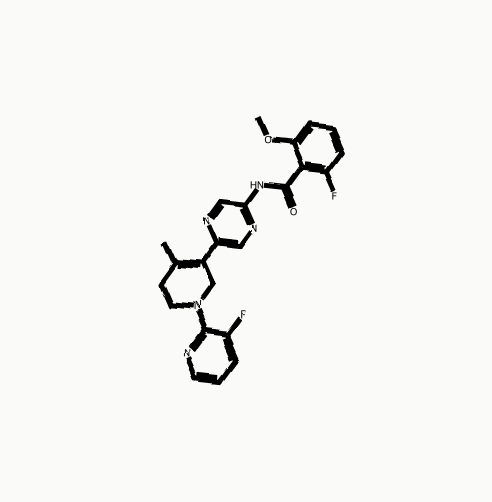 COc1cccc(F)c1C(=O)Nc1cnc(C2=C(C)CCN(c3ncccc3F)C2)cn1